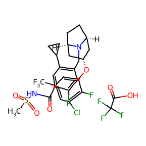 CS(=O)(=O)NC(=O)c1cc(C2CC2)c(CN2[C@@H]3CC[C@H]2C[C@H](Oc2cc(C(F)(F)F)cc(Cl)c2F)C3)cc1F.O=C(O)C(F)(F)F